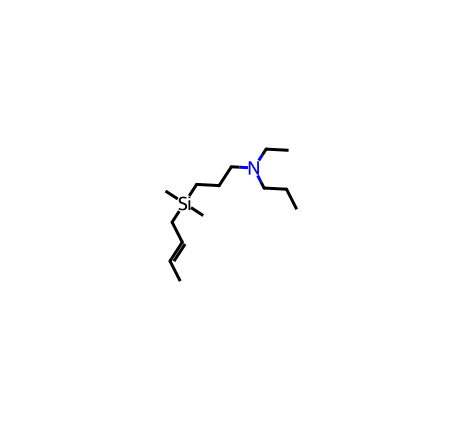 C/C=C/C[Si](C)(C)CCCN(CC)CCC